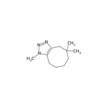 Cn1nnc2c1CCCCC(C)(C)C2